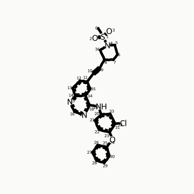 CS(=O)(=O)N1CCCC(C#Cc2ccc3ncnc(Nc4ccc(Oc5ccccc5)c(Cl)c4)c3c2)C1